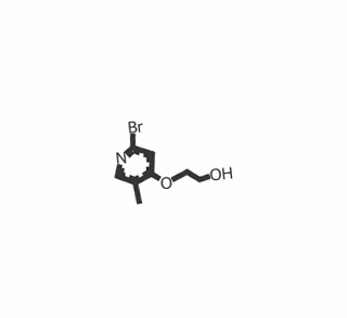 Cc1cnc(Br)cc1OCCO